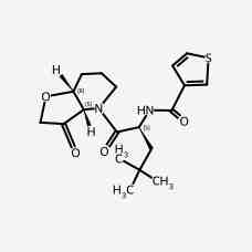 CC(C)(C)C[C@H](NC(=O)c1ccsc1)C(=O)N1CCC[C@H]2OCC(=O)[C@H]21